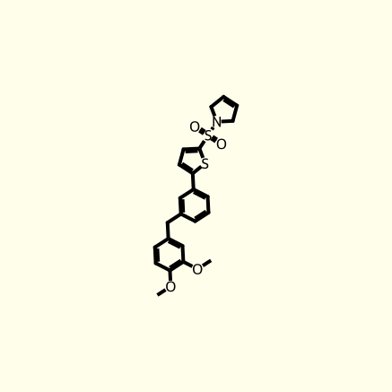 COc1ccc(Cc2cccc(-c3ccc(S(=O)(=O)N4CC=CC4)s3)c2)cc1OC